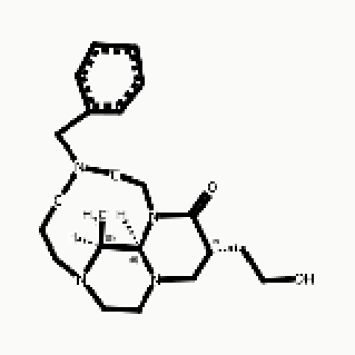 C[C@H]1[C@@H]2N3CCN1CCCN(Cc1ccccc1)CCN2C(=O)[C@H](CCO)C3